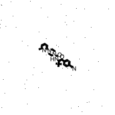 Cc1cccc(N2CCN(C(=O)N[C@@H](C(=O)c3ccc(C#N)cc3)C(C)(C)C)CC2)n1